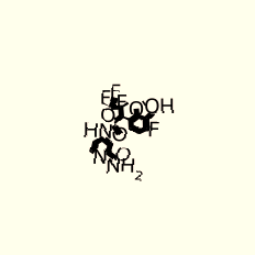 COc1c([C@H]2[C@H](C(=O)Nc3ccnc(C(N)=O)c3)O[C@@](C)(C(F)(F)F)[C@H]2C)ccc(F)c1CO